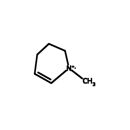 C[N+]1C=CCCC1